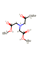 COC(=O)CN(CC(=O)OC(C)(C)C)CC(=O)OC(C)(C)C